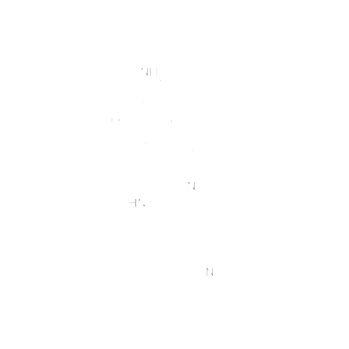 NC(=O)C1(Cc2nc3cnccc3[nH]2)C=CC=CC1